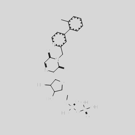 Cc1ccccc1-c1ccnc(CN2C(=O)C=NC([C@@H]3O[C@H](COP(=O)(O)OP(=O)(O)O)C(O)C3O)C2=O)c1